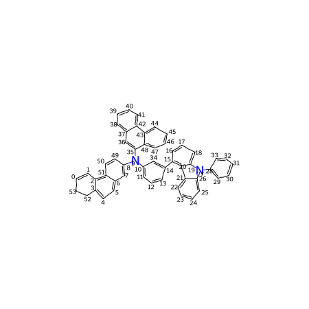 C1=Cc2c(ccc3cc(N(c4cccc(-c5cccc6c5c5ccccc5n6-c5ccccc5)c4)c4cc5ccccc5c5ccccc45)ccc23)CC1